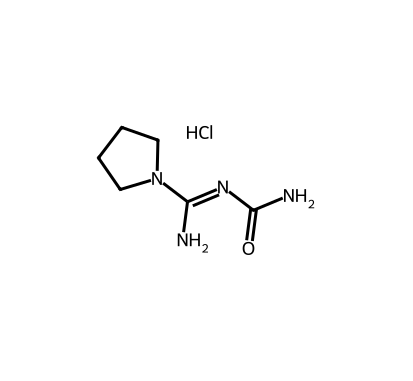 Cl.NC(=O)N=C(N)N1CCCC1